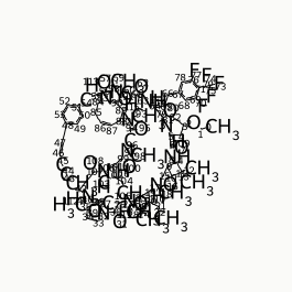 CCO[C@@H]1C[C@H]2C(=O)NC3(CC(C)(C)C3)C(=O)N(C)[C@@H](C(CC)CC)C(=O)N(C)[C@H](C(=O)N3CCCC3)CC(=O)N(C)[C@H]3CCC/C=C/c4ccc(cc4)C[C@@H](C(=O)N(C)CC(=O)N[C@@H](CCc4cc(F)c(C(F)(F)F)c(F)c4)C(=O)N2C1)N1CC/C=C\C[C@@H](C1=O)N(C)C(=O)CN(C)C(=O)[C@H]([C@@H](C)CC)NC3=O